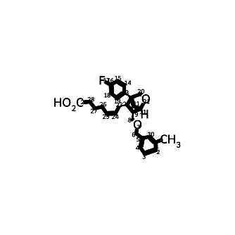 Cc1cccc(COC[C@@H]2[C@@H]3C[C@@](c4ccc(F)cc4)(CO3)[C@H]2C/C=C\CCCC(=O)O)c1